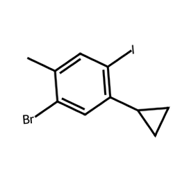 Cc1cc(I)c(C2CC2)cc1Br